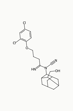 N#CN(C(=N)CCCOc1ccc(Cl)cc1Cl)C1C2CC3CC(C2)C(CO)C1C3